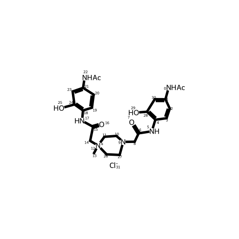 CC(=O)Nc1ccc(NC(=O)CN2CC[N+](C)(CC(=O)Nc3ccc(NC(C)=O)cc3O)CC2)c(O)c1.[Cl-]